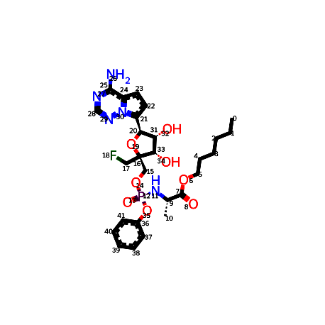 CCCCCCOC(=O)[C@H](C)N[P@](=O)(OC[C@@]1(CF)O[C@@H](c2ccc3c(N)ncnn23)[C@H](O)[C@@H]1O)Oc1ccccc1